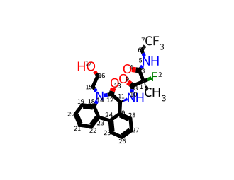 C[C@@](F)(C(=O)NCC(F)(F)F)C(=O)N[C@@H]1C(=O)N(CCO)c2ccccc2-c2ccccc21